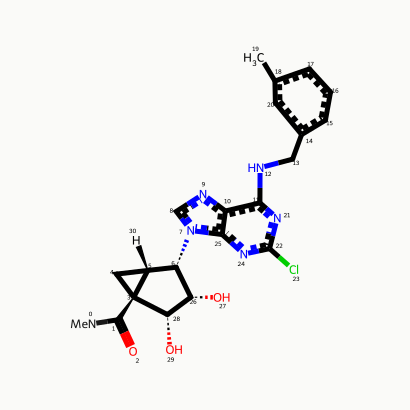 CNC(=O)[C@@]12C[C@@H]1[C@H](n1cnc3c(NCc4cccc(C)c4)nc(Cl)nc31)[C@H](O)[C@@H]2O